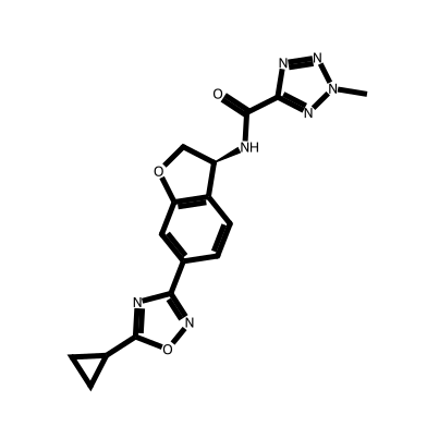 Cn1nnc(C(=O)N[C@@H]2COc3cc(-c4noc(C5CC5)n4)ccc32)n1